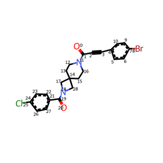 O=C(C#Cc1ccc(Br)cc1)N1CCC2(CC1)CN(C(=O)c1ccc(Cl)cc1)C2